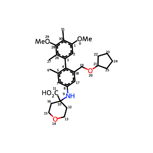 COc1cc(-c2c(C)cc(NC3(C(=O)O)CCOCC3)cc2COC2CCCC2)c(C)c(OC)c1C